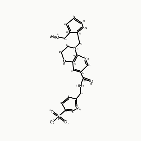 CCS(=O)(=O)c1ccc(CNC(=O)c2cnc3c(c2)OCCN3Cc2ccccc2COC)nc1